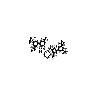 CC(C)(C)c1cc(CSC2CCCCCCC2SCc2cc(C(C)(C)C)cc(-c3cc(C(F)(F)F)cc(C(F)(F)F)c3)c2O)c(O)c(-c2cc(C(F)(F)F)cc(C(F)(F)F)c2)c1